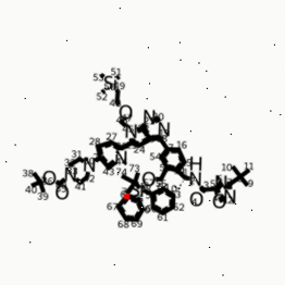 C[C@@H](NC(=O)c1nc(C(C)(C)C)no1)c1ccc(-c2ncnc3c2cc(-c2ccc(N4CCN(C(=O)OC(C)(C)C)CC4)cn2)n3COCC[Si](C)(C)C)cc1CO[Si](c1ccccc1)(c1ccccc1)C(C)(C)C